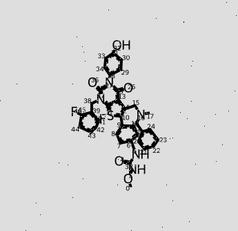 CONC(=O)Nc1ccc(-c2sc3c(c2CN(C)Cc2ccccc2)c(=O)n(-c2ccc(O)cc2)c(=O)n3Cc2c(F)cccc2F)cc1